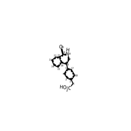 O=C(O)Cc1ccc(-c2c[nH]c(=O)c3ccccc23)cc1